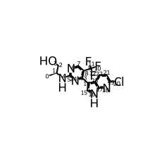 C[C@@H](CO)Nc1ncc(C(F)(F)F)c(-c2c[nH]c3nc(Cl)ccc23)n1